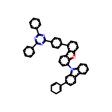 C1=CC(c2ccc3c4ccccc4n(-c4cccc5c4oc4cccc(-c6ccc(-c7nc(-c8ccccc8)nc(-c8ccccc8)n7)cc6)c45)c3c2)=CCC1